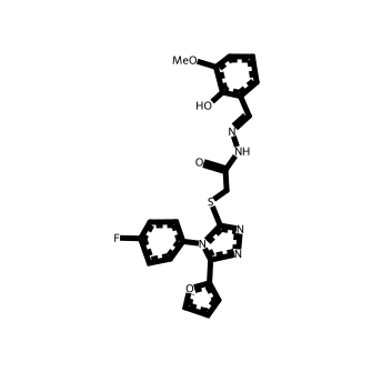 COc1cccc(C=NNC(=O)CSc2nnc(-c3ccco3)n2-c2ccc(F)cc2)c1O